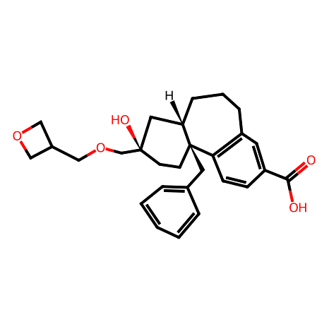 O=C(O)c1ccc2c(c1)CCC[C@H]1C[C@@](O)(COCC3COC3)CC[C@@]21Cc1ccccc1